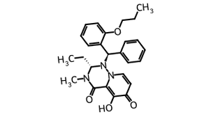 CCCOc1ccccc1[C@@H](c1ccccc1)N1[C@@H](CC)N(C)C(=O)c2c(O)c(=O)ccn21